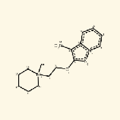 C[N+]1(CCOc2nn3ccccc3c2[N+](=O)[O-])CCCCC1